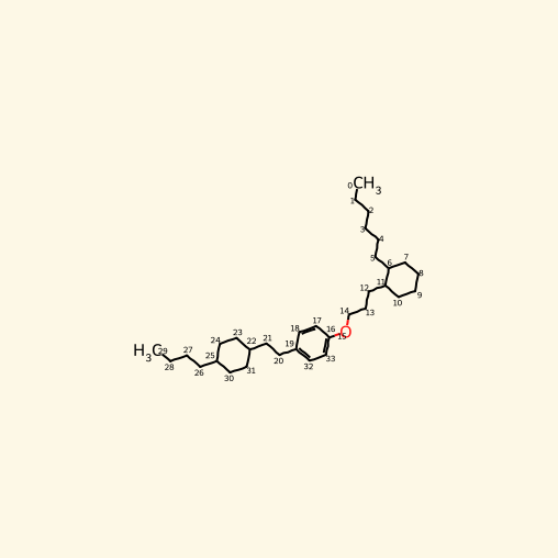 CCCCCCC1CCCCC1CCCOc1ccc(CCC2CCC(CCCC)CC2)cc1